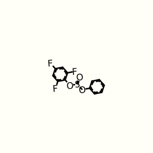 O=S(Oc1ccccc1)Oc1c(F)cc(F)cc1F